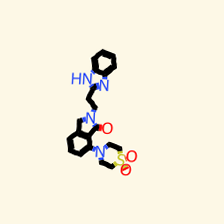 O=C1c2c(cccc2N2CCS(=O)(=O)CC2)CN1CCc1nc2ccccc2[nH]1